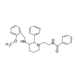 COc1ccccc1CNC1CCCN(CCNC(=O)c2ccccc2)C1c1ccccc1